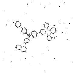 CC1(C)c2cccc3c2-c2c1cccc2C3(c1ccccc1)c1ccc(-c2ccc(N(c3ccc(-c4ccccc4)cc3)c3ccc(-c4cccc5ccccc45)cc3)cc2)cc1